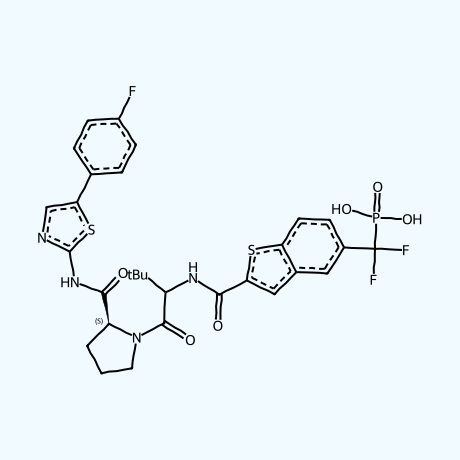 CC(C)(C)C(NC(=O)c1cc2cc(C(F)(F)P(=O)(O)O)ccc2s1)C(=O)N1CCC[C@H]1C(=O)Nc1ncc(-c2ccc(F)cc2)s1